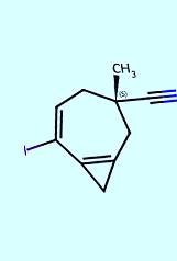 C[C@]1(C#N)CC=C(I)C2=C(C2)C1